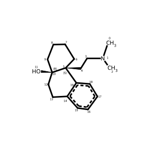 CN(C)CC[C@]12CCCC[C@@]1(O)CCc1ccccc12